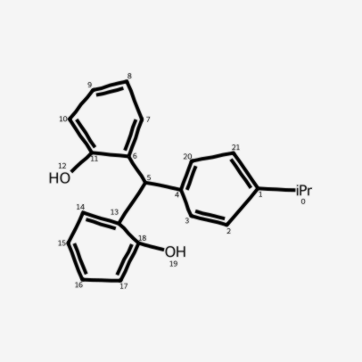 CC(C)c1ccc(C(c2ccccc2O)c2ccccc2O)cc1